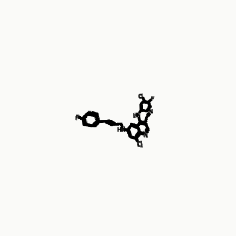 N#Cc1cnc2c(Cl)cc(NCC#Cc3ccc(F)cc3)cc2c1Nc1ccc(F)c(Cl)c1